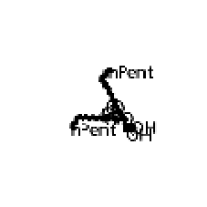 CCCCC/C=C\C/C=C\CCCCCCCC(=O)OCCN(CCOC(=O)CCCCCCC/C=C\C/C=C\CCCCC)C(=O)CN1C[C@@H](O)[C@@H](O)C1